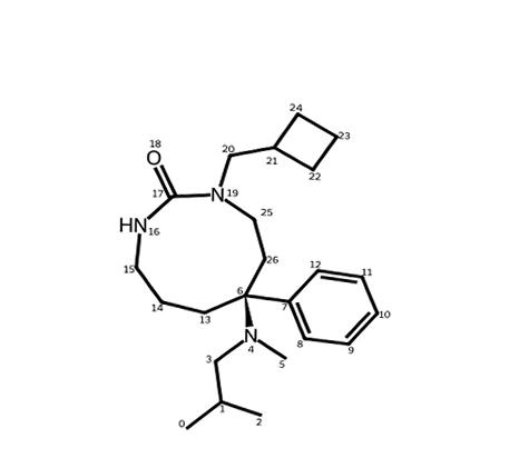 CC(C)CN(C)[C@@]1(c2ccccc2)CCCNC(=O)N(CC2CCC2)CC1